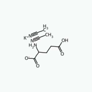 CC#N.CC#N.NC(CCC(=O)O)C(=O)[O-].[K+]